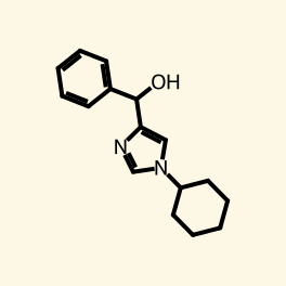 OC(c1ccccc1)c1cn(C2CCCCC2)cn1